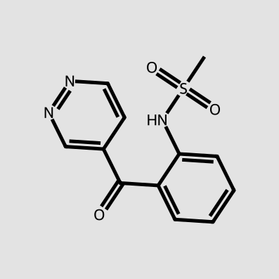 CS(=O)(=O)Nc1ccccc1C(=O)c1ccnnc1